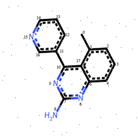 Cc1cccc2nc(N)nc(-c3cccnc3)c12